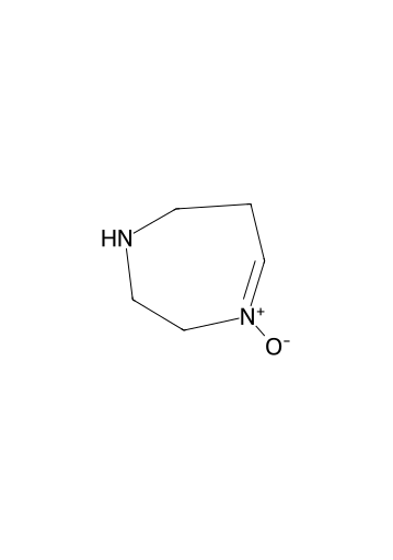 [O-][N+]1=CCCNCC1